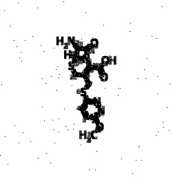 COc1ccc(SCC2=C(C(=O)O)N3C(=O)C(N)[C@H]3SC2)nn1